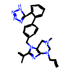 C=CCN1CN(C)Cc2c1nc(C(=C)C)n2Cc1ccc(-c2ccccc2-c2nnn[nH]2)cc1